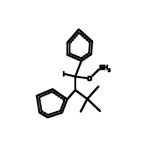 CC(C)(C)C(c1ccccc1)C(I)(O[SiH3])c1ccccc1